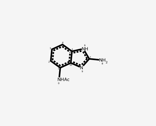 CC(=O)Nc1cccc2[nH]c(N)nc12